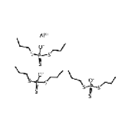 CCCSP([O-])(=S)SCCC.CCCSP([O-])(=S)SCCC.CCCSP([O-])(=S)SCCC.[Al+3]